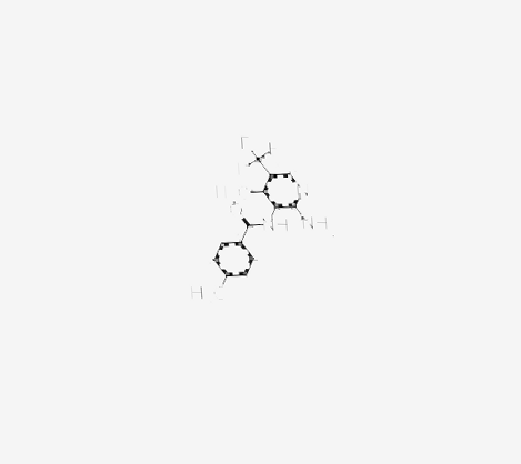 Cc1ccc(C(=O)Nc2c(N)ncc(C(F)(F)F)c2C)cc1